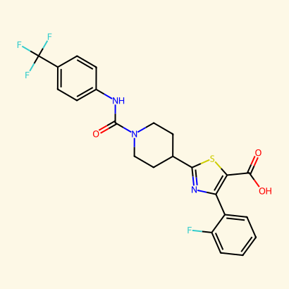 O=C(O)c1sc(C2CCN(C(=O)Nc3ccc(C(F)(F)F)cc3)CC2)nc1-c1ccccc1F